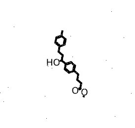 COC(=O)CCCc1ccc(C(O)CCc2ccc(C)cc2)cc1